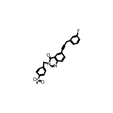 CS(=O)(=O)c1ccc(Cn2cnc3ccc(C#CCc4cccc(F)c4)cc3c2=O)cc1